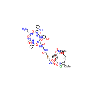 COc1cc2cc(c1Cl)N(C)C(=O)CC1(OC(=O)[C@H](C)N(C)C(=O)CCSSCCC(=O)NCCNC(=O)CC[C@H]3C(=O)N[C@@H](Cc4ccc(O)cc4)C(=O)N[C@H](Cc4c[nH]c5ccccc45)C(=O)N[C@@H](CCCCN)C(=O)N[C@@H]([C@@H](C)O)C(=O)N[C@@H](Cc4ccccc4)C(=O)N3C)O[C@@H]([C@H](C)[C@@H]3C[C@@](O)(NC(=O)O3)[C@H](OC)/C=C/C=C(\C)C2)[C@@H]1C